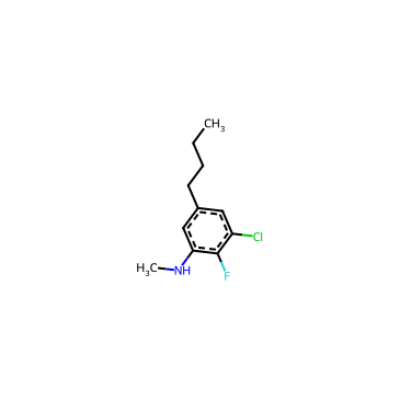 CCCCc1cc(Cl)c(F)c(NC)c1